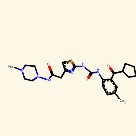 Cc1ccc(NC(=O)Nc2nc(CC(=O)NN3CCN(C)CC3)cs2)c(C(=O)C2CCCC2)c1